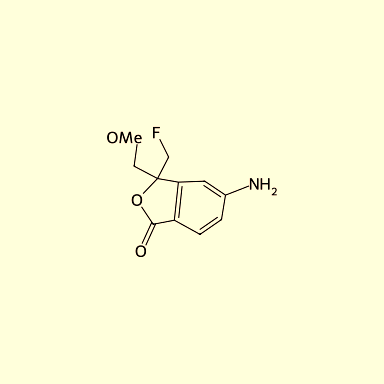 COCC1(CF)OC(=O)c2ccc(N)cc21